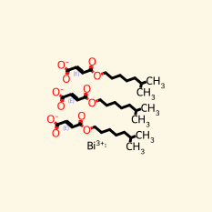 CC(C)CCCCCOC(=O)/C=C/C(=O)[O-].CC(C)CCCCCOC(=O)/C=C/C(=O)[O-].CC(C)CCCCCOC(=O)/C=C/C(=O)[O-].[Bi+3]